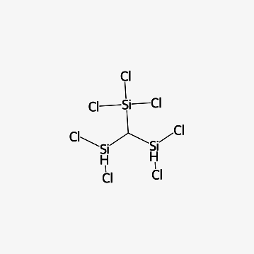 Cl[SiH](Cl)C([SiH](Cl)Cl)[Si](Cl)(Cl)Cl